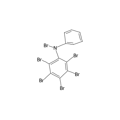 Brc1c(Br)c(Br)c(N(Br)c2ccccc2)c(Br)c1Br